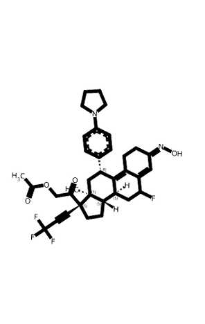 CC(=O)OCC(=O)[C@@]1(C#CC(F)(F)F)CC[C@H]2[C@@H]3CC(F)C4=CC(=NO)CCC4=C3[C@@H](c3ccc(N4CCCC4)cc3)C[C@@]21C